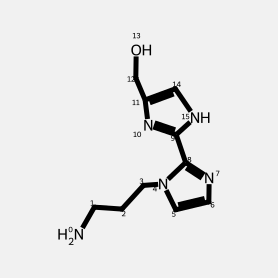 NCCCn1ccnc1-c1nc(CO)c[nH]1